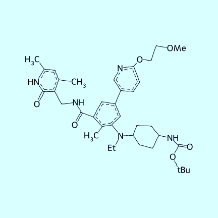 CCN(c1cc(-c2ccc(OCCOC)nc2)cc(C(=O)NCc2c(C)cc(C)[nH]c2=O)c1C)C1CCC(NC(=O)OC(C)(C)C)CC1